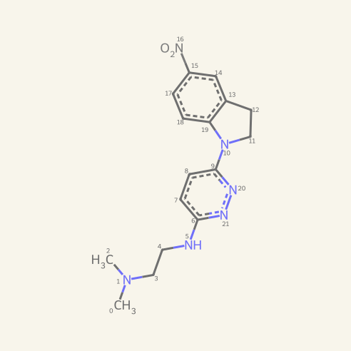 CN(C)CCNc1ccc(N2CCc3cc([N+](=O)[O-])ccc32)nn1